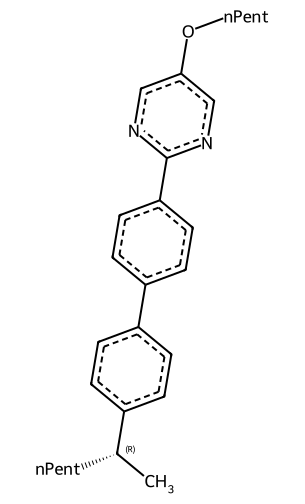 CCCCCOc1cnc(-c2ccc(-c3ccc([C@H](C)CCCCC)cc3)cc2)nc1